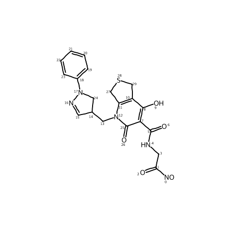 O=NC(=O)CNC(=O)c1c(O)c2c(n(CC3C=NN(c4ccccc4)C3)c1=O)CSC2